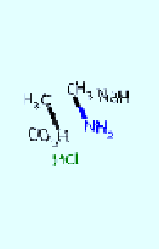 CC(=O)O.CN.Cl.[NaH]